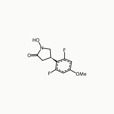 COc1cc(F)c([C@H]2CC(=O)N(O)C2)c(F)c1